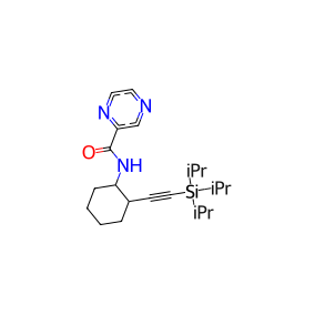 CC(C)[Si](C#CC1CCCCC1NC(=O)c1cnccn1)(C(C)C)C(C)C